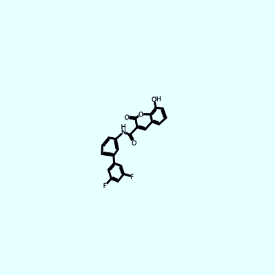 O=C(Nc1cccc(-c2cc(F)cc(F)c2)c1)c1cc2cccc(O)c2oc1=O